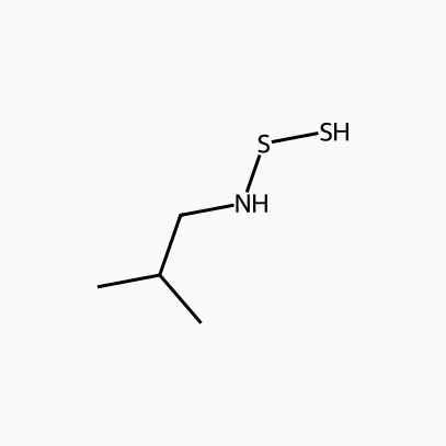 CC(C)CNSS